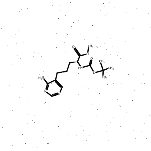 COC(=O)[C@H](CCCc1cncnc1N)NC(=O)OC(C)(C)C